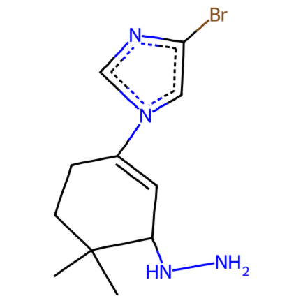 CC1(C)CCC(n2cnc(Br)c2)=CC1NN